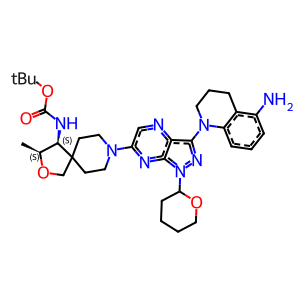 C[C@@H]1OCC2(CCN(c3cnc4c(N5CCCc6c(N)cccc65)nn(C5CCCCO5)c4n3)CC2)[C@@H]1NC(=O)OC(C)(C)C